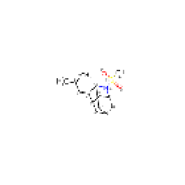 CC(C)CC1C2CC3CC(C2)N(S(C)(=O)=O)C1C3